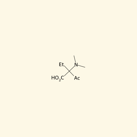 CCC(C(C)=O)(C(=O)O)N(C)C